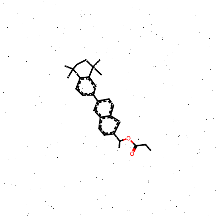 CCC(=O)OC(C)c1ccc2cc(-c3ccc4c(c3)C(C)(C)CCC4(C)C)ccc2c1